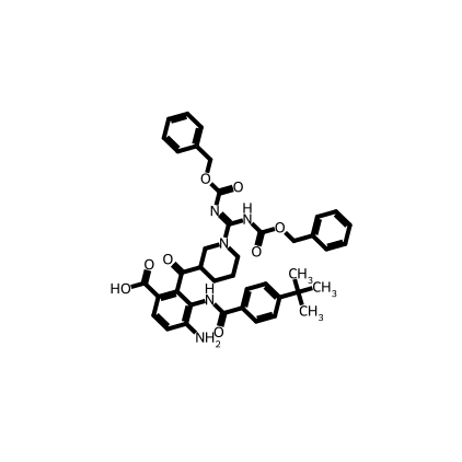 CC(C)(C)c1ccc(C(=O)Nc2c(N)ccc(C(=O)O)c2C(=O)C2CCCN(C(=NC(=O)OCc3ccccc3)NC(=O)OCc3ccccc3)C2)cc1